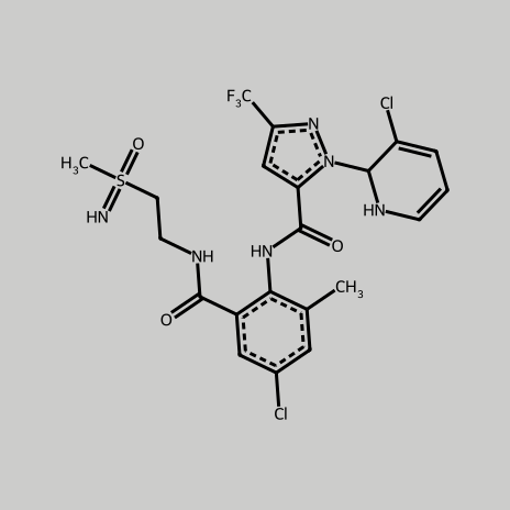 Cc1cc(Cl)cc(C(=O)NCCS(C)(=N)=O)c1NC(=O)c1cc(C(F)(F)F)nn1C1NC=CC=C1Cl